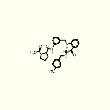 N#Cc1ccc(CONC(=O)c2ccccc2NCc2ccnc(NC(=O)C3CCCN3C(=O)C(F)(F)F)c2)cc1